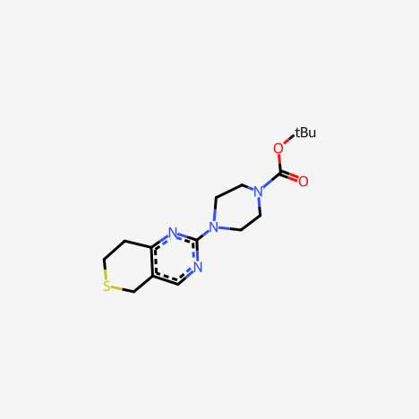 CC(C)(C)OC(=O)N1CCN(c2ncc3c(n2)CCSC3)CC1